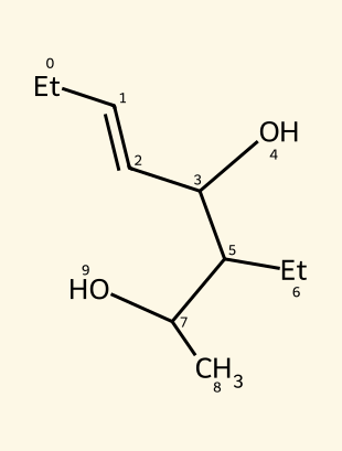 [CH2]C/C=C/C(O)C(CC)C(C)O